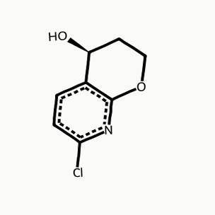 O[C@H]1CCOc2nc(Cl)ccc21